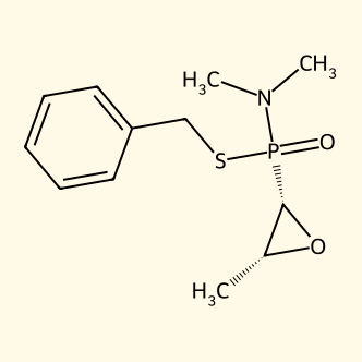 C[C@H]1O[C@H]1P(=O)(SCc1ccccc1)N(C)C